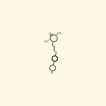 C[C@@H]1C2OC2N(C)CCN1CCCOc1ccc(C2CCNCC2)cc1